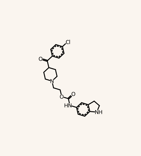 O=C(Nc1ccc2c(c1)CCN2)OCCN1CCC(C(=O)c2ccc(Cl)cc2)CC1